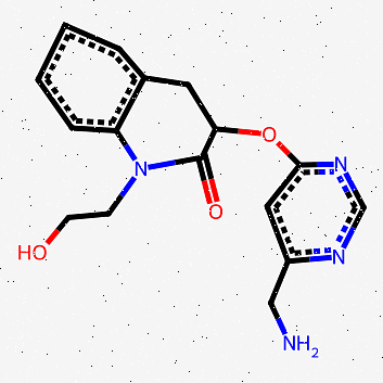 NCc1cc(OC2Cc3ccccc3N(CCO)C2=O)ncn1